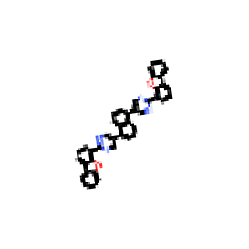 c1ccc2c(c1)oc1c(-c3ncc(-c4cccc5c(-c6cnc(-c7cccc8c7oc7ccccc78)nc6)cccc45)cn3)cccc12